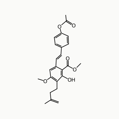 C=C(C)CCc1c(OC)cc(/C=C/c2ccc(OC(C)=O)cc2)c(C(=O)OC)c1O